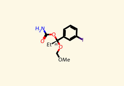 CC[C@@](OCOC)(OC(N)=O)c1cccc(I)c1